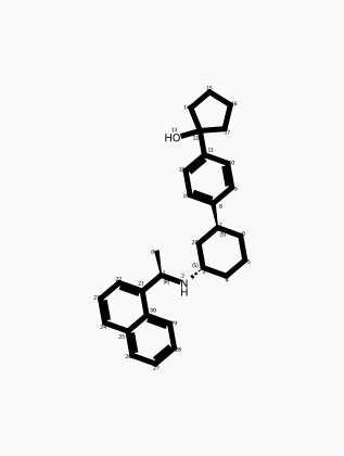 C[C@@H](N[C@H]1CCC[C@H](c2ccc(C3(O)CCCC3)cc2)C1)c1cccc2ccccc12